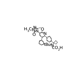 Cn1nc2n(c1=O)-c1cc(-c3ccccc3)c(-c3ccc(C4(N(C(=O)O)C(C)(C)C)CCC4)cc3)nc1OC2